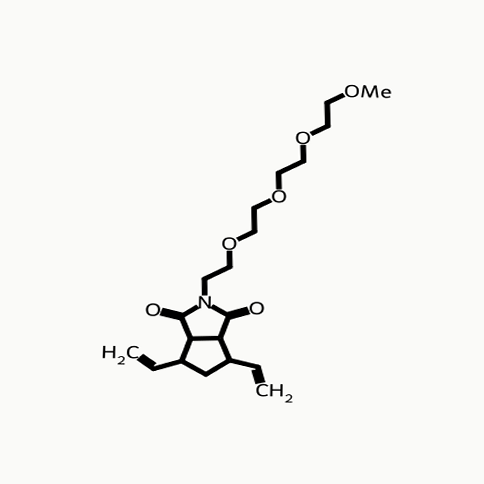 C=CC1CC(C=C)C2C(=O)N(CCOCCOCCOCCOC)C(=O)C12